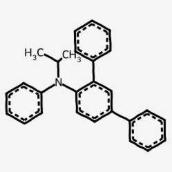 CC(C)N(c1ccccc1)c1ccc(-c2ccccc2)cc1-c1ccccc1